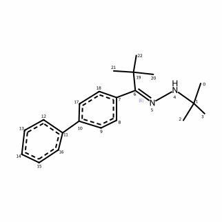 CC(C)(C)N/N=C(/c1ccc(-c2ccccc2)cc1)C(C)(C)C